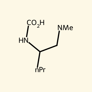 CCCC(CNC)NC(=O)O